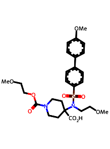 COCCOC(=O)N1CCC(C(=O)O)(N(CCOC)S(=O)(=O)c2ccc(-c3ccc(OC)cc3)cc2)CC1